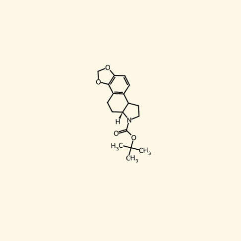 CC(C)(C)OC(=O)N1CCC2c3ccc4c(c3CC[C@H]21)OCO4